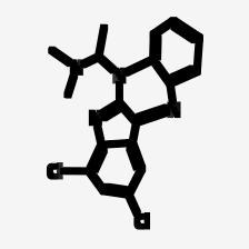 CC(N(C)C)n1c2nc3c(Cl)cc(Cl)cc3c-2nc2ccccc21